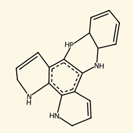 C1=CC2Nc3c4c(c5c(c3PC2C=C1)C=CCN5)NCC=C4